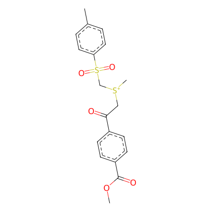 COC(=O)c1ccc(C(=O)C[S+](C)CS(=O)(=O)c2ccc(C)cc2)cc1